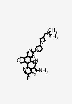 CN(C)CC1CN([C@H]2CCN(c3ncc4c5c(c(-c6ncc(F)c7sc(N)c(C#N)c67)c(F)c4n3)COC5)C2)C1